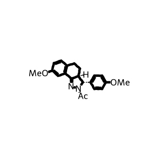 COc1ccc([C@H]2[C@@H]3CCc4ccc(OC)cc4C3=NN2C(C)=O)cc1